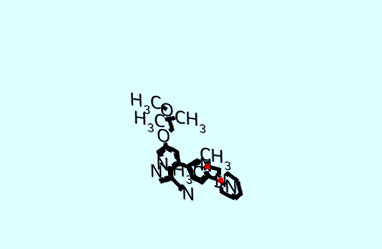 COC(C)(C)COc1cc(-c2ccc(N3CC4CC(C3)N4SCC(C)C)nc2)c2c(C#N)cnn2c1